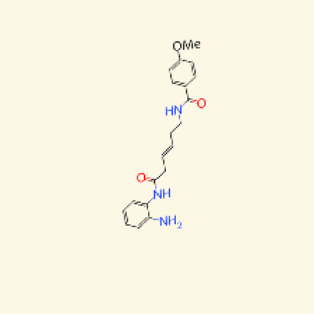 COc1ccc(C(=O)NCCC=CCC(=O)Nc2ccccc2N)cc1